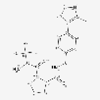 Cc1ncsc1-c1ccc(CNC(=O)C2CCCN2C(=O)C(N)C(C)(C)C)cc1